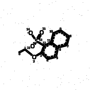 CCOc1ccc2ccccc2c1S([O])(=O)=O